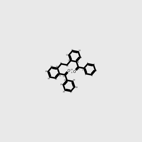 O=C(c1ccccc1)c1ccccc1CCc1ccccc1C(=O)c1ccccc1